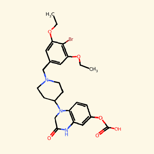 CCOc1cc(CN2CCC(N3CC(=O)Nc4cc(OC(=O)O)ccc43)CC2)cc(OCC)c1Br